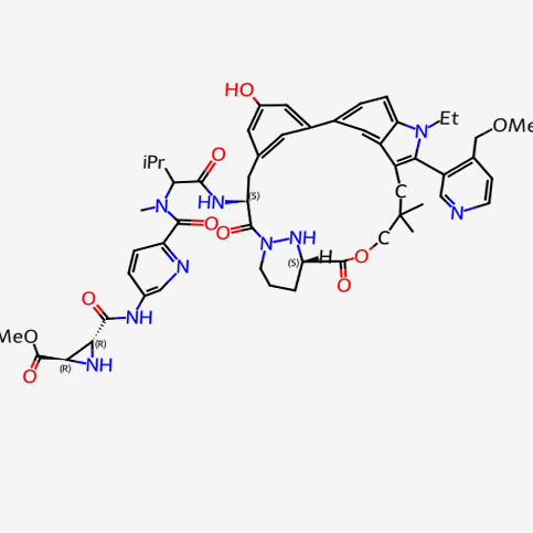 CCn1c(-c2cnccc2COC)c2c3cc(ccc31)-c1cc(O)cc(c1)C[C@H](NC(=O)C(C(C)C)N(C)C(=O)c1ccc(NC(=O)[C@@H]3N[C@H]3C(=O)OC)cn1)C(=O)N1CCC[C@H](N1)C(=O)OCC(C)(C)C2